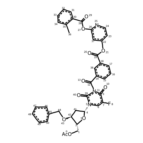 CC(=O)OC[C@H]1O[C@@H](n2cc(F)c(=O)n(C(=O)c3cccc(C(=O)Oc4ccnc(OC(=O)c5ccccc5C)c4)c3)c2=O)C[C@@H]1OCc1ccccc1